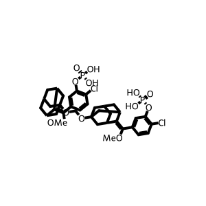 COC(=C1C2CC3CC1CC(OCOC14CC5CC(C1)C(=C(OC)c1ccc(Cl)c(OP(=O)(O)O)c1)C(C5)C4)(C3)C2)c1ccc(Cl)c(OP(=O)(O)O)c1